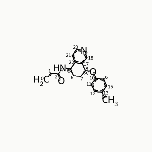 C=CC(=O)N[C@@H]1CC[C@H](Oc2ccc(C)cc2)c2cnccc21